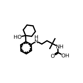 CC(C)(CCNc1ccccc1C1(O)CCCCC1)NC(=O)O